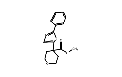 COC(=O)C1(c2cnc(-c3ccccc3)s2)CCOCC1